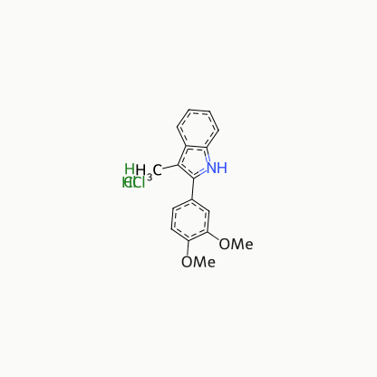 COc1ccc(-c2[nH]c3ccccc3c2C)cc1OC.Cl.Cl